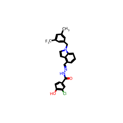 Cc1cc(Cn2ccc3c(/C=N/NC(=O)c4ccc(O)c(Cl)c4)cccc32)cc(C(F)(F)F)c1